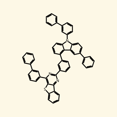 c1ccc(-c2cccc(-c3nc(-c4cccc(-c5cccc6c5c5cc(-c7ccccc7)ccc5n6-c5cccc(-c6ccccc6)c5)c4)nc4c3sc3ccccc34)c2)cc1